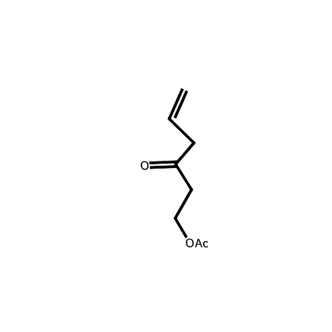 C=CCC(=O)CCOC(C)=O